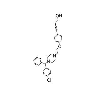 OCCC#Cc1ccc(OCCN2CCN(C(c3ccccc3)c3ccc(Cl)cc3)CC2)cc1